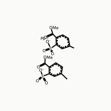 COC(=O)c1ccc(C)cc1S(=O)(=O)[O-].COC(=O)c1ccc(C)cc1S(=O)(=O)[O-].[Pb+2]